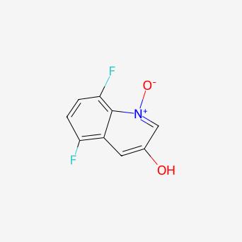 [O-][n+]1cc(O)cc2c(F)ccc(F)c21